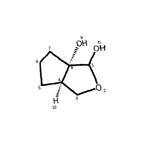 OC1OC[C@H]2CCC[C@@]12O